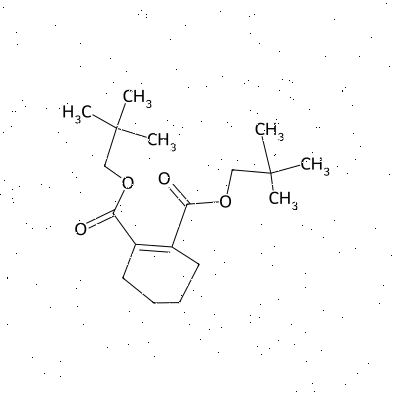 CC(C)(C)COC(=O)C1=C(C(=O)OCC(C)(C)C)CCCC1